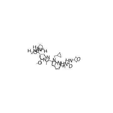 COc1cc(C(=O)N2[C@H]3CC[C@@H]2[C@H](N)C3)cc2nc(-c3cc4ccc([C@@H](C)NC(=O)NC5COC5)nc4n3CC3CC3)c(C)n12